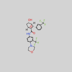 O=C(Nc1ccc(N2CCOCC2)c(C(F)(F)F)c1)[C@@H]1[C@@H](c2cccc(C(F)(F)F)c2)[C@H]2O[C@@H]1C[C@@H]2O